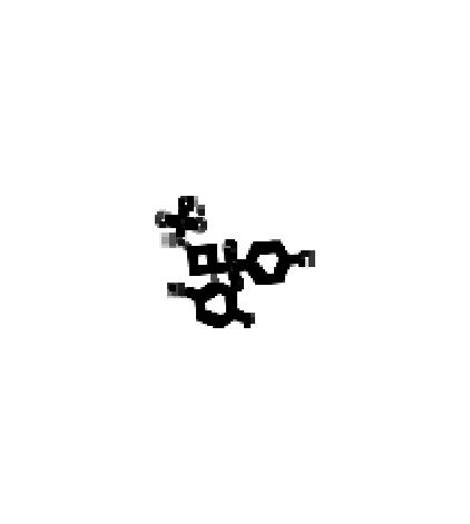 N#Cc1ccc(F)cc1[C@]1(S(=O)(=O)c2ccc(Cl)cc2)C[C@H](NS(=O)(=O)C(F)(F)F)C1